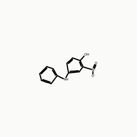 O=[N+]([O-])c1cc(Nc2ccccc2)ccc1O